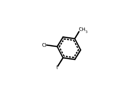 Cc1ccc(I)c(Cl)c1